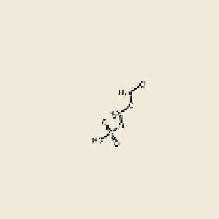 O=S(=O)(O)O[SiH2]O[SiH2]Cl